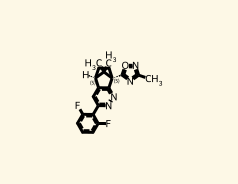 Cc1noc([C@]23CC[C@H](c4cc(-c5c(F)cccc5F)nnc42)C3(C)C)n1